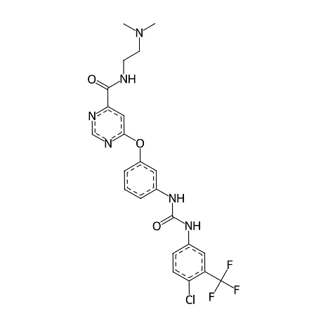 CN(C)CCNC(=O)c1cc(Oc2cccc(NC(=O)Nc3ccc(Cl)c(C(F)(F)F)c3)c2)ncn1